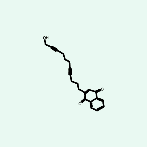 O=C1C=C(CCCC#CCCCC#CCO)C(=O)c2ccccc21